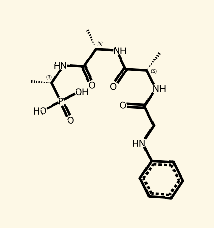 C[C@H](NC(=O)CNc1ccccc1)C(=O)N[C@@H](C)C(=O)N[C@@H](C)P(=O)(O)O